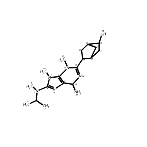 CC(C)N(C)c1nc2c(n1C)N(C)C(C1CC3CC1CC3O)=NC2N